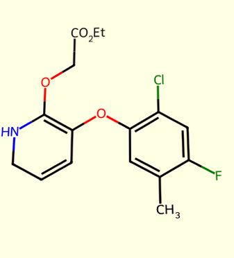 CCOC(=O)COC1=C(Oc2cc(C)c(F)cc2Cl)C=CCN1